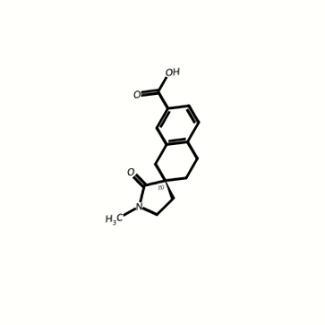 CN1CC[C@@]2(CCc3ccc(C(=O)O)cc3C2)C1=O